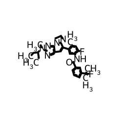 CCC(CC)N(C)c1ncc2c(n1)N1CCN=C1C(c1cc(NC(=O)c3cccc(C(C)(C)F)c3)c(F)cc1C)=C2